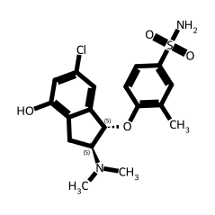 Cc1cc(S(N)(=O)=O)ccc1O[C@H]1c2cc(Cl)cc(O)c2C[C@@H]1N(C)C